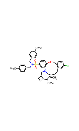 C=C[C@H](OC)[C@@H]1CC[C@H]1CN1CCCCc2cc(Cl)ccc2COc2ccc(S(=O)(=O)N(Cc3ccc(OC)cc3)Cc3ccc(OC)cc3)cc21